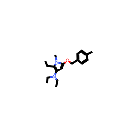 CCc1c(N(CC)CC)cc(OCc2ccc(C)cc2)n1C